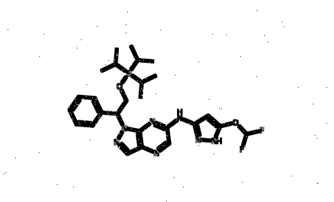 CC(C)[Si](OCC(c1ccccc1)n1ncc2ncc(Nc3cc(OC(F)F)[nH]n3)nc21)(C(C)C)C(C)C